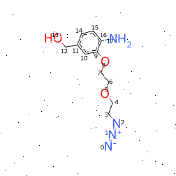 [N-]=[N+]=NCCOCCOc1cc(CO)ccc1N